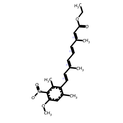 CCOC(=O)/C=C(C)/C=C/C=C(C)/C=C/c1c(C)cc(OC)c([N+](=O)[O-])c1C